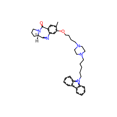 Cc1cc2c(cc1OCCCCN1CCN(CCCCCn3c4ccccc4c4ccccc43)CC1)N=C[C@@H]1CCCN1C2=O